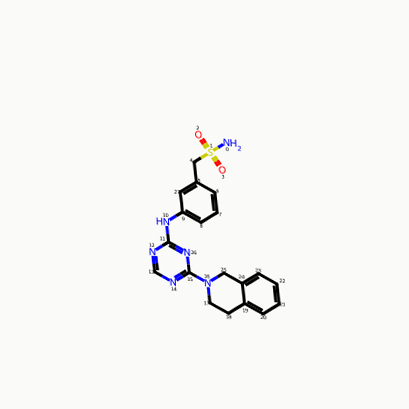 NS(=O)(=O)Cc1cccc(Nc2ncnc(N3CCc4ccccc4C3)n2)c1